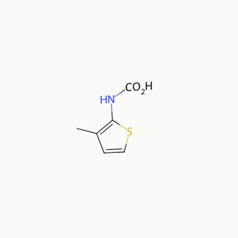 Cc1ccsc1NC(=O)O